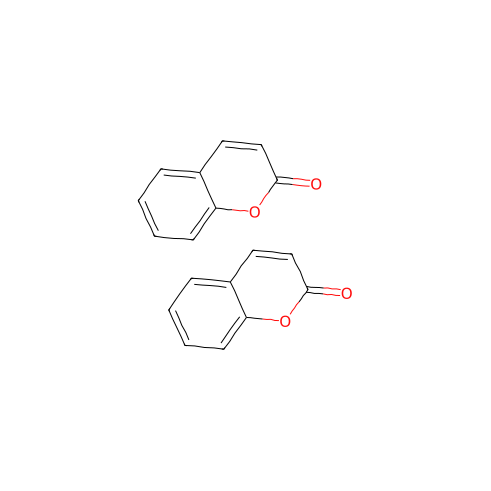 O=c1ccc2ccccc2o1.O=c1ccc2ccccc2o1